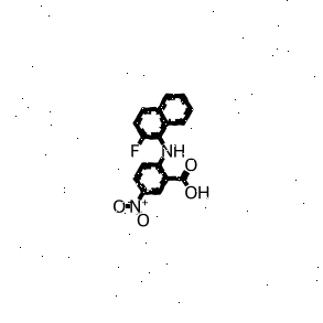 O=C(O)c1cc([N+](=O)[O-])ccc1Nc1c(F)ccc2ccccc12